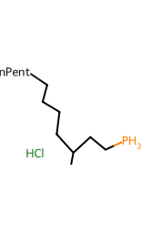 CCCCCCCCCC(C)CCP.Cl